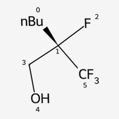 CCCC[C@](F)(CO)C(F)(F)F